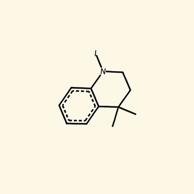 CC1(C)CCN(I)c2ccccc21